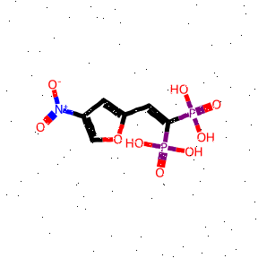 O=[N+]([O-])c1coc(C=C(P(=O)(O)O)P(=O)(O)O)c1